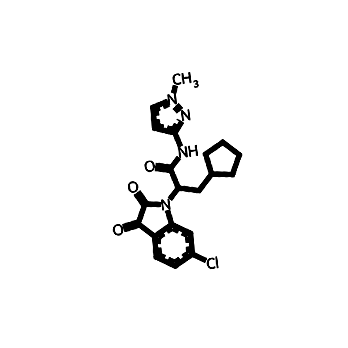 Cn1ccc(NC(=O)C(CC2CCCC2)N2C(=O)C(=O)c3ccc(Cl)cc32)n1